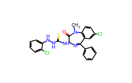 CN1C(=O)C(NC(=S)NNc2ccccc2Cl)N=C(c2ccccc2)c2cc(Cl)ccc21